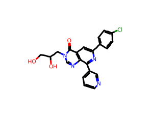 O=c1c2cc(-c3ccc(Cl)cc3)nc(-c3cccnc3)c2ncn1CC(O)CO